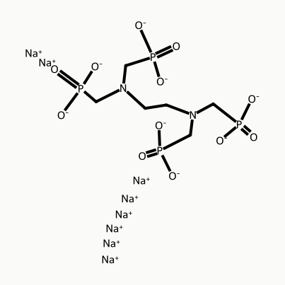 O=P([O-])([O-])CN(CCN(CP(=O)([O-])[O-])CP(=O)([O-])[O-])CP(=O)([O-])[O-].[Na+].[Na+].[Na+].[Na+].[Na+].[Na+].[Na+].[Na+]